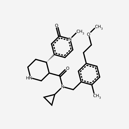 COCCc1ccc(C)c(CN(C(=O)C2CNCC[C@@H]2c2ccn(C)c(=O)c2)C2CC2)c1